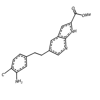 COC(=O)c1cc2cc(CCc3ccc(C)c(N)c3)cnc2[nH]1